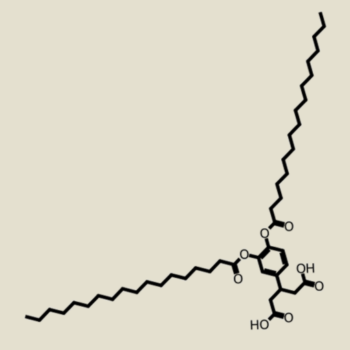 CCCCCCCCCCCCCCCCCC(=O)Oc1ccc(C(CC(=O)O)CC(=O)O)cc1OC(=O)CCCCCCCCCCCCCCCCC